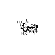 CC(C)c1nc(CC(C)c2ncc(C(C)(C)c3ncc[nH]3)n2C)co1